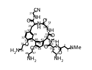 CNCCC(=O)N[C@@H](CCN)C(=O)N(C)[C@@H]1C(=O)N[C@@H](C)C(=O)N[C@H](C(=O)NCC#N)Cc2ccc(OCCN)c(c2)-c2cc1ccc2OCCN